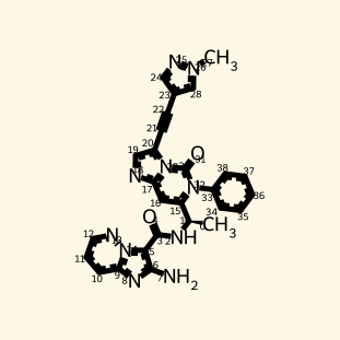 C[C@@H](NC(=O)c1c(N)nc2cccnn12)c1cc2ncc(C#Cc3cnn(C)c3)n2c(=O)n1-c1ccccc1